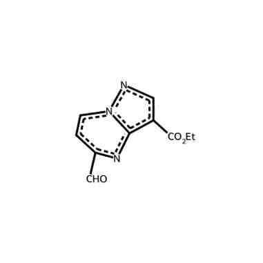 CCOC(=O)c1cnn2ccc(C=O)nc12